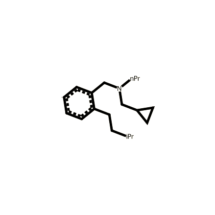 CCCN(Cc1c[c]ccc1CCC(C)C)CC1CC1